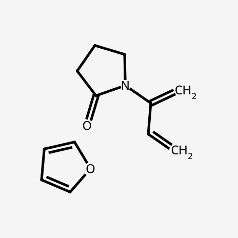 C=CC(=C)N1CCCC1=O.c1ccoc1